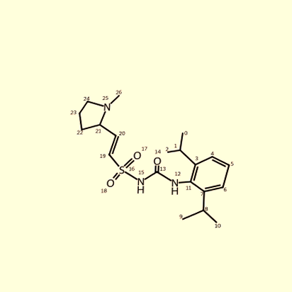 CC(C)c1cccc(C(C)C)c1NC(=O)NS(=O)(=O)C=CC1CCCN1C